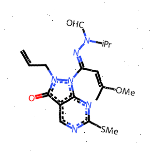 C=CCn1c(=O)c2cnc(SC)nc2n1C(/C=C(\C)OC)=N/N(C=O)C(C)C